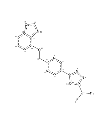 FC(F)c1nnc(-c2cnc(COc3cccc4ocnc34)nc2)o1